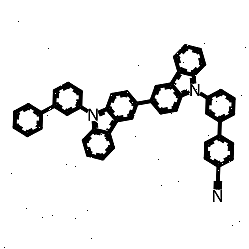 N#Cc1ccc(-c2cccc(-n3c4ccccc4c4cc(-c5ccc6c(c5)c5ccccc5n6-c5cccc(-c6ccccc6)c5)ccc43)c2)cc1